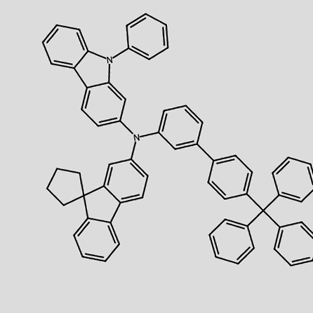 c1ccc(-n2c3ccccc3c3ccc(N(c4cccc(-c5ccc(C(c6ccccc6)(c6ccccc6)c6ccccc6)cc5)c4)c4ccc5c(c4)C4(CCCC4)c4ccccc4-5)cc32)cc1